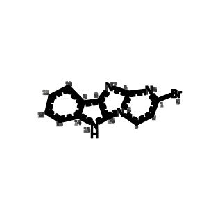 Brc1ccn2c(n1)nc1c3ccccc3[nH]c12